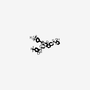 CS(=O)(=O)c1ccc(-c2nc3n(CC(=O)Nc4ccc(C(F)(F)F)cc4Cl)c4c(c(=O)n3n2)C2(CC4)CCN(C(=O)c3ncccc3O)CC2)cc1